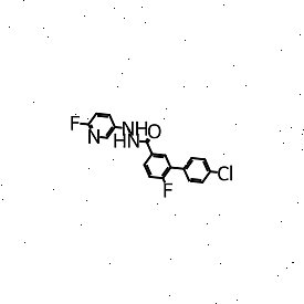 O=C(NNc1ccc(F)nc1)c1ccc(F)c(-c2ccc(Cl)cc2)c1